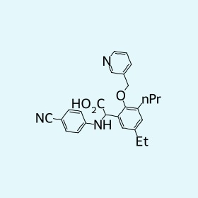 CCCc1cc(CC)cc(C(Nc2ccc(C#N)cc2)C(=O)O)c1OCc1cccnc1